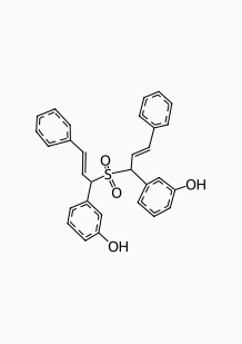 O=S(=O)(C(C=Cc1ccccc1)c1cccc(O)c1)C(C=Cc1ccccc1)c1cccc(O)c1